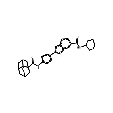 O=C(NC1CCCCC1)c1ccc2cc(-c3ccc(NC(=O)C45CC6CC(C4)OC(C6)C5)cc3)[nH]c2c1